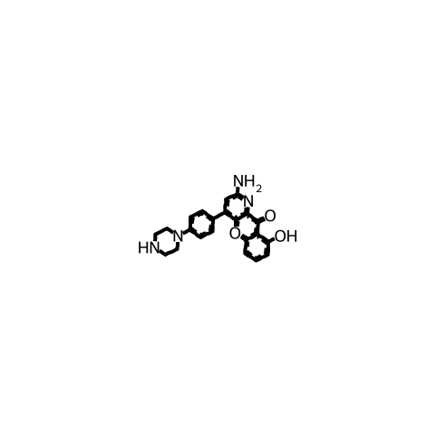 Nc1cc(-c2ccc(N3CCNCC3)cc2)c2oc3cccc(O)c3c(=O)c2n1